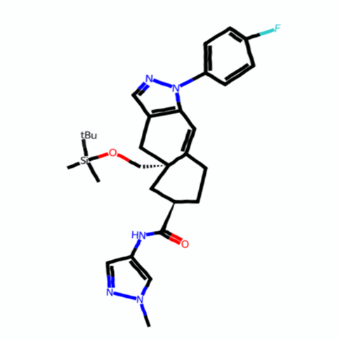 Cn1cc(NC(=O)[C@@H]2CCC3=Cc4c(cnn4-c4ccc(F)cc4)C[C@]3(CO[Si](C)(C)C(C)(C)C)C2)cn1